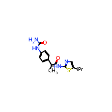 CC(C)c1cnc(NC(=O)[C@@H](C)c2ccc(NC(N)=O)cc2)s1